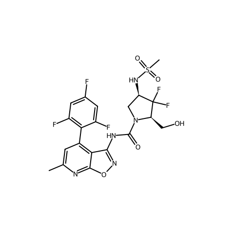 Cc1cc(-c2c(F)cc(F)cc2F)c2c(NC(=O)N3C[C@@H](NS(C)(=O)=O)C(F)(F)[C@H]3CO)noc2n1